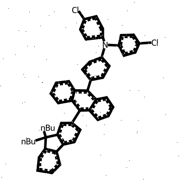 CCCCC1(CCCC)c2ccccc2-c2ccc(-c3c4ccccc4c(-c4ccc(N(c5ccc(Cl)cc5)c5ccc(Cl)cc5)cc4)c4ccccc34)cc21